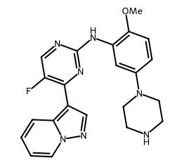 COc1ccc(N2CCNCC2)cc1Nc1ncc(F)c(-c2cnn3ccccc23)n1